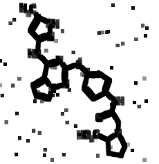 Cc1cc(Nc2nc(Sc3ccc(NC(=O)CN4CCCC4C(=O)O)cc3)nn3cccc23)n[nH]1